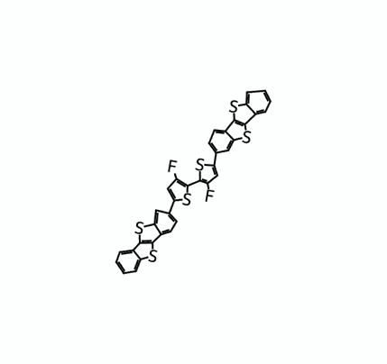 Fc1cc(-c2ccc3c(c2)sc2c4ccccc4sc32)sc1-c1sc(-c2ccc3c(c2)sc2c4ccccc4sc32)cc1F